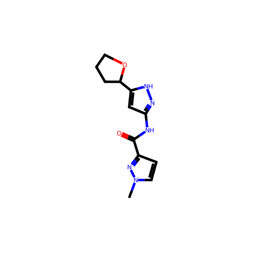 Cn1ccc(C(=O)Nc2cc(C3CCCO3)[nH]n2)n1